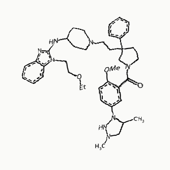 CCOCCn1c(NC2CCN(CCC3(c4ccccc4)CCN(C(=O)c4cc(N5NN(C)CC5C)ccc4OC)C3)CC2)nc2ccccc21